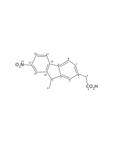 CC1c2cc(CC(=O)O)ccc2-c2ccc([N+](=O)[O-])cc21